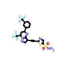 NS(=O)(=O)c1cnc(C#Cc2cnn3c(C(F)(F)F)cc(-c4cccc(C(F)(F)F)c4)nc23)s1